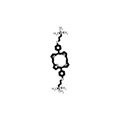 C[N+](C)(C)CCCOc1ccc(C2=C3C=CC(=N3)C=C3C=CC(=N3)C(c3ccc(OCCC[N+](C)(C)C)cc3)=C3C=CC(=N3)C=C3C=CC2=N3)cc1